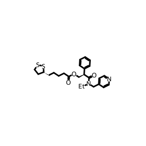 CCN(Cc1ccncc1)C(=O)[C@@H](COC(=O)CCCC[C@@H]1CCSS1)c1ccccc1